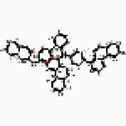 c1ccc(N(c2ccc(-c3cccc4c3ccc3ccccc34)cc2)c2cccc3c2ccc2ccccc23)c(-c2ccc3oc4cc5ccccc5cc4c3c2)c1